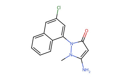 Cn1c(N)cc(=O)n1-c1cc(Cl)cc2ccccc12